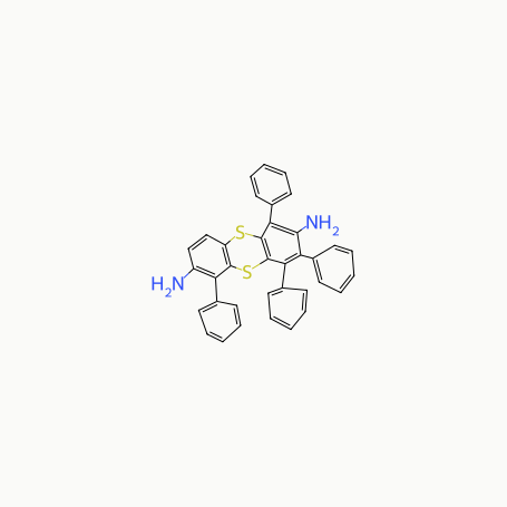 Nc1ccc2c(c1-c1ccccc1)Sc1c(c(-c3ccccc3)c(N)c(-c3ccccc3)c1-c1ccccc1)S2